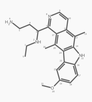 CCNC(CCN)c1nccc2c(C)c3[nH]c4ccc(OC)cc4c3c(C)c12